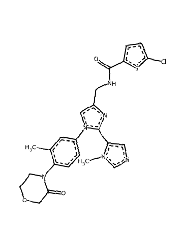 Cc1cc(-n2cc(CNC(=O)c3ccc(Cl)s3)nc2-c2cncn2C)ccc1N1CCOCC1=O